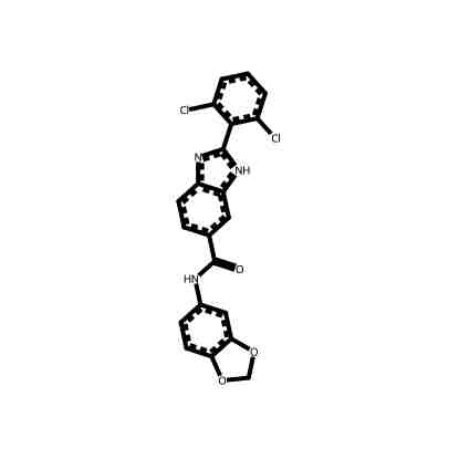 O=C(Nc1ccc2c(c1)OCO2)c1ccc2nc(-c3c(Cl)cccc3Cl)[nH]c2c1